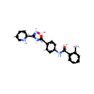 Cc1ccccc1C(=O)Nc1ccc(-c2nc(-c3ccccn3)no2)cc1